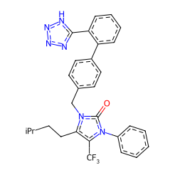 CC(C)CCc1c(C(F)(F)F)n(-c2ccccc2)c(=O)n1Cc1ccc(-c2ccccc2-c2nnn[nH]2)cc1